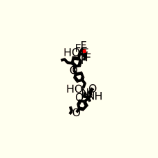 CCCc1cc(C(O)(C(F)(F)F)C(F)(F)F)ccc1Oc1ccc(CC(O)N2C(=O)NC(C)(c3ccc(OC(C)C)cc3)C2=O)cc1